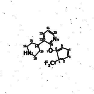 FC(F)(F)c1ccccc1Oc1ncccc1C1CCNCC1